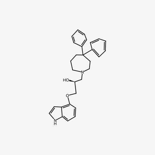 O[C@H](COc1cccc2[nH]ccc12)CN1CCCC(c2ccccc2)(c2ccccc2)CC1